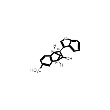 O=C(O)c1ccc2c(c1)[C@H]1C[C@@H]2[C@@H](c2coc3ccccc23)C1O